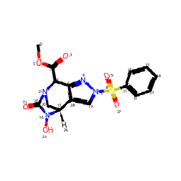 COC(=O)C1c2nn(S(=O)(=O)c3ccccc3)cc2[C@H]2CN1C(=O)N2O